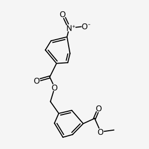 COC(=O)c1cccc(COC(=O)c2ccc([N+](=O)[O-])cc2)c1